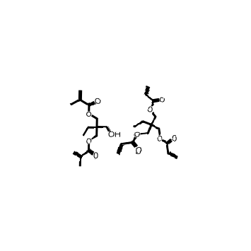 C=C(C)C(=O)OCC(CC)(CO)COC(=O)C(=C)C.C=CC(=O)OCC(CC)(COC(=O)C=C)COC(=O)C=C